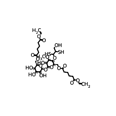 C=COC(=O)CCCCC(=O)OC[C@H]1O[C@H](O[C@H]2O[C@H](COC(=O)CCCCC(=O)OC=C)[C@@H](OC(S)C(S)CO)[C@H](OC)[C@H]2O)[C@H](O)[C@@H](O)[C@@H]1O